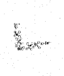 O=S(=O)([O-])[O-].O=S(=O)([O-])[O-].O=S(=O)([O-])[O-].O=S(=O)([O-])[O-].[Fe+3].[Fe+3].[Fe+3].[K+].[K+].[K+].[OH-].[OH-].[OH-].[OH-]